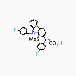 CSc1c(C(CC(=O)O)c2ccc(F)cc2)ccc2c3ccccc3n(Cc3ccc(F)cc3)c12